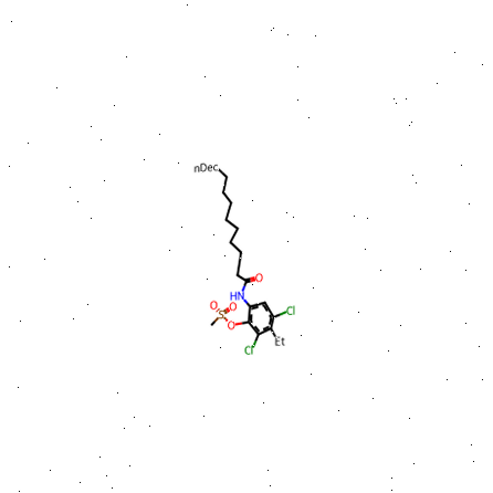 CCCCCCCCCCCCCCCCCCC(=O)Nc1cc(Cl)c(CC)c(Cl)c1OS(C)(=O)=O